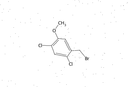 COc1cc(CBr)c(Cl)cc1Cl